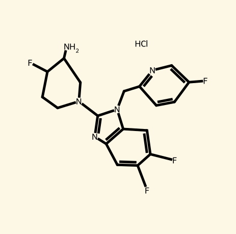 Cl.NC1CN(c2nc3cc(F)c(F)cc3n2Cc2ccc(F)cn2)CCC1F